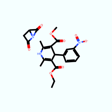 CCOC(=O)C1=C(C)NC(C)=C(C(=O)OC)C1c1cccc([N+](=O)[O-])c1.O=C1CC2C(=O)N12